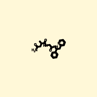 CC(CC(N)=O)C(=O)NCC(=O)NC(Cc1ccccn1)c1ccccc1